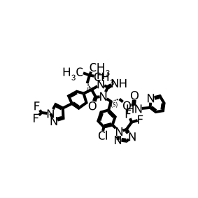 CC(C)(C)C[C@]1(C2C=CC(c3cnn(C(F)F)c3)=CC2)NC(=N)N([C@H](COC(=O)Nc2ccccn2)c2ccc(Cl)c(-n3ncnc3C(F)F)c2)C1=O